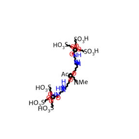 CNCCCc1c(OCCCCC2=CN(CCCNC(=O)c3cc(OCCCS(=O)(=O)O)c(OCCCS(=O)(=O)O)c(OCCCS(=O)(=O)O)c3)NN2)cc(C(C)=O)cc1OCCCCc1cn(CCCNC(=O)c2cc(OCCCS(=O)(=O)O)c(OCCCS(=O)(=O)O)c(OCCCS(=O)(=O)O)c2)nn1